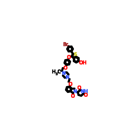 C[C@@H](COc1ccc(Oc2c(-c3ccc(Br)cc3)sc3cc(O)ccc23)cc1)N1CCN(CCOc2cccc3c2CN(C2CCC(=O)NC2=O)C3=O)CC1